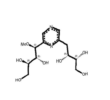 CO[C@@H](c1cncc(C[C@@H](O)[C@H](O)CO)n1)[C@H](O)[C@H](O)CO